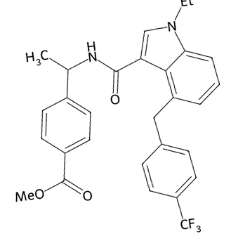 CCn1cc(C(=O)NC(C)c2ccc(C(=O)OC)cc2)c2c(Cc3ccc(C(F)(F)F)cc3)cccc21